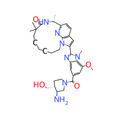 COc1cc(C(=O)N2CC[C@@H](CO)[C@H](N)C2)cc2nc(-c3cc4ccc5nc4n3CCCCCCC(C)(C)C(=O)N[C@@H]5C)n(C)c12